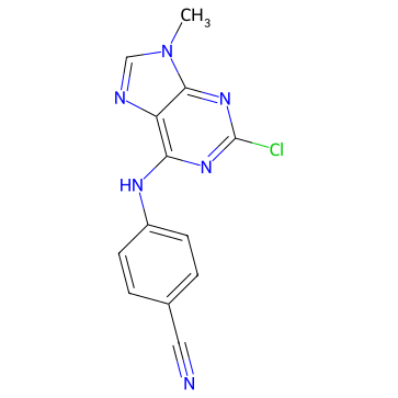 Cn1cnc2c(Nc3ccc(C#N)cc3)nc(Cl)nc21